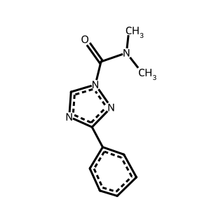 CN(C)C(=O)n1cnc(-c2ccccc2)n1